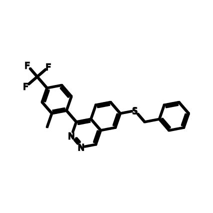 Cc1cc(C(F)(F)F)ccc1-c1nncc2cc(SCc3ccccc3)ccc12